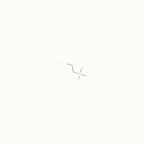 CCCCCCC[N+](C)(C)CCC